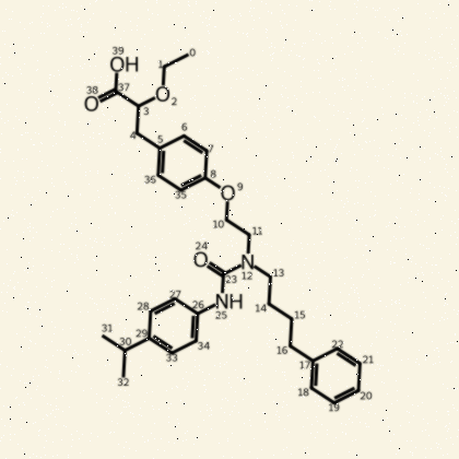 CCOC(Cc1ccc(OCCN(CCCCc2ccccc2)C(=O)Nc2ccc(C(C)C)cc2)cc1)C(=O)O